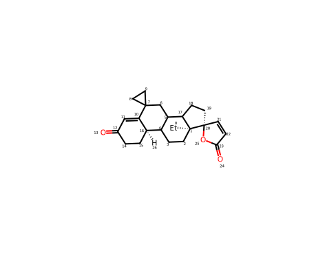 CC[C@]12CCC3C(CC4(CC4)C4=CC(=O)CC[C@@H]43)C1CC[C@@]21C=CC(=O)O1